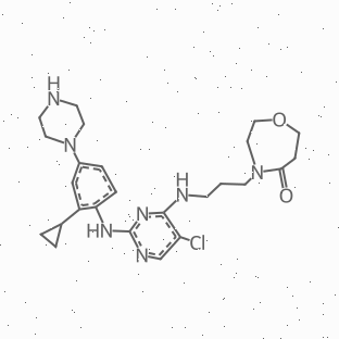 O=C1CCOCCN1CCCNc1nc(Nc2ccc(N3CCNCC3)cc2C2CC2)ncc1Cl